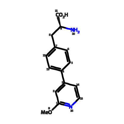 COc1cc(-c2ccc(C[C@H](N)C(=O)O)cc2)ccn1